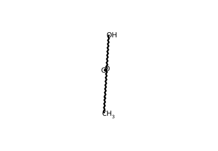 CCCCCCCCC=CCCCCCCCCCCCCCC(=O)OCCCCCCCCCCCCCCCCCO